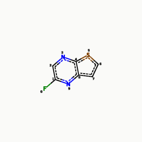 Fc1cnc2sccc2n1